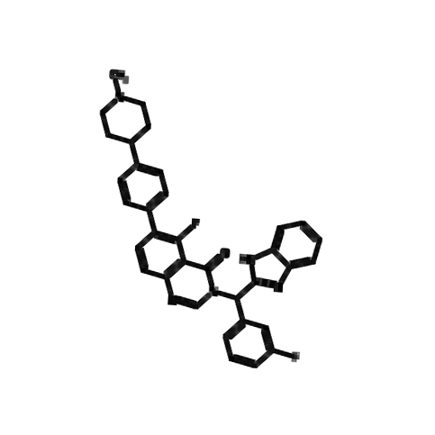 CN1CCC(c2ccc(-c3ccc4ncn(C(c5cccc(F)c5)c5nc6ccccc6[nH]5)c(=O)c4c3F)cc2)CC1